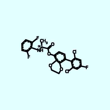 C[C@H](Nc1c(F)cccc1F)C(=O)Oc1ccc(-c2c(Cl)cc(F)cc2Cl)c2c1OCCO2